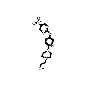 O=[N+]([O-])c1cnc(Nc2ccc(N3CCN(CCO)CC3)nc2)nc1